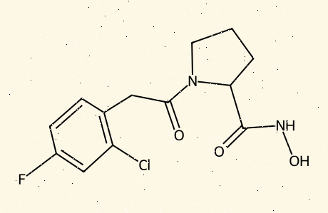 O=C(NO)C1CCCN1C(=O)Cc1ccc(F)cc1Cl